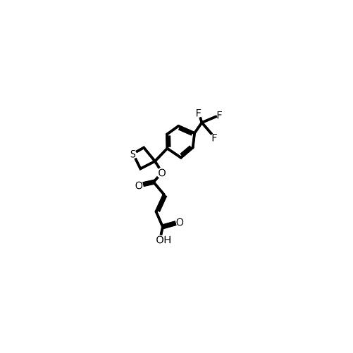 O=C(O)/C=C/C(=O)OC1(c2ccc(C(F)(F)F)cc2)CSC1